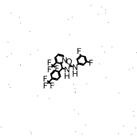 O=C(Nc1cc(F)cc(F)c1)NC(c1ccc(C(F)(F)F)cc1)c1ncccc1C(F)(F)F